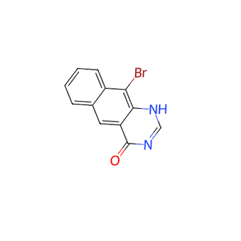 O=c1nc[nH]c2c(Br)c3ccccc3cc12